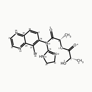 C[C@H](O)C(=O)O[C@@H](C)C(=O)N(C1=NCCN1)c1ccc2nccnc2c1Br